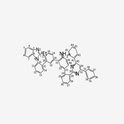 CCc1nc2ccccc2n1-c1ccccc1-c1cccc(-c2cc(-c3ccccc3-c3nc(-c4ccccc4)cc(-c4ccccc4)n3)ccc2N)c1